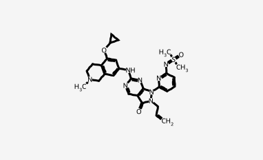 C=CCn1c(=O)c2cnc(Nc3cc4c(c(OC5CC5)c3)CCN(C)C4)nc2n1-c1cccc(N=S(C)(C)=O)n1